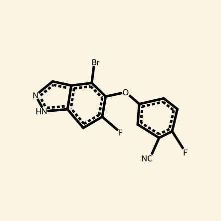 N#Cc1cc(Oc2c(F)cc3[nH]ncc3c2Br)ccc1F